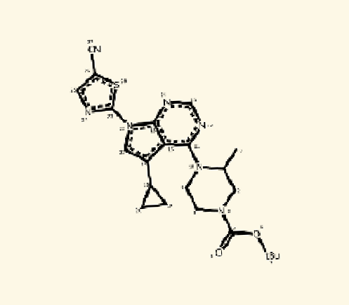 CC1CN(C(=O)OC(C)(C)C)CCN1c1ncnc2c1c(C1CC1)cn2-c1ncc(C#N)s1